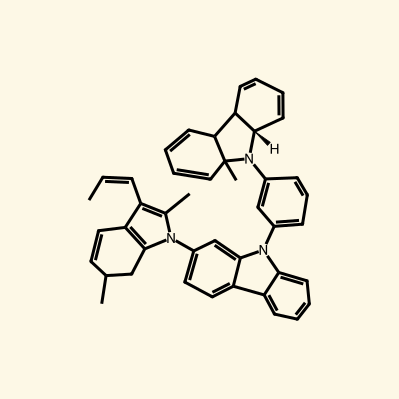 C/C=C\c1c2c(n(-c3ccc4c5ccccc5n(-c5cccc(N6[C@H]7C=CC=CC7C7C=CC=CC76C)c5)c4c3)c1C)CC(C)C=C2